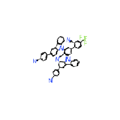 N#Cc1ccc(-c2ccc3c(c2)c2ccccc2n3-c2cc(-c3ccc(C(F)(F)F)cc3C#N)cc(-n3c4ccccc4c4cc(-c5ccc(C#N)cc5)ccc43)c2C#N)cc1